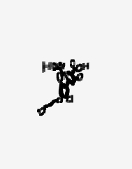 COCCCOc1cc2c(cc1Cl)-c1cc(=O)c(C(=O)O)cn1C(c1c[nH]cn1)O2